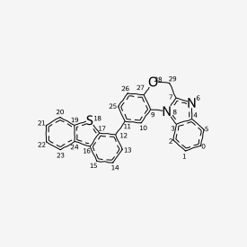 c1ccc2c(c1)nc1n2-c2cc(-c3cccc4c3sc3ccccc34)ccc2OC1